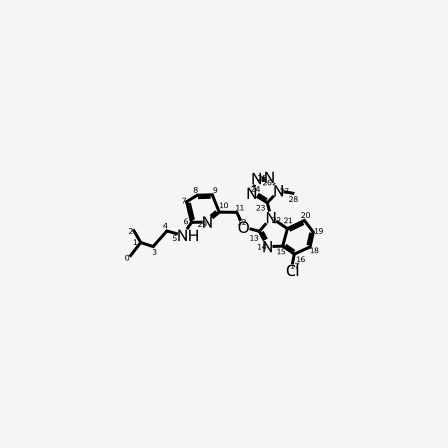 CC(C)CCNc1cccc(COc2nc3c(Cl)cccc3n2-c2nnnn2C)n1